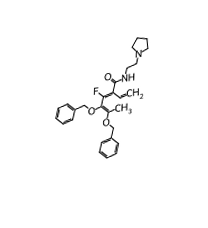 C=C/C(C(=O)NCCN1CCCC1)=C(F)\C(OCc1ccccc1)=C(/C)OCc1ccccc1